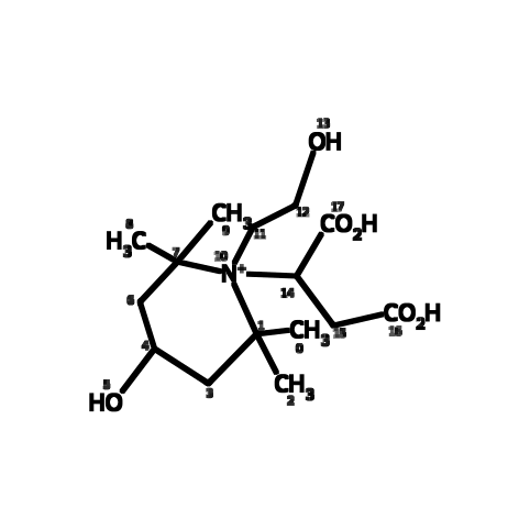 CC1(C)CC(O)CC(C)(C)[N+]1(CCO)C(CC(=O)O)C(=O)O